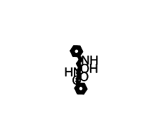 N=C(/C=C(\O)NC(=O)Oc1ccccc1)c1ccccc1